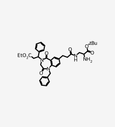 CCOC(=O)CC(c1ccccc1)N1CC(=O)N(Cc2ccccc2)c2ccc(CCC(=O)NCC(N)C(=O)OC(C)(C)C)cc2C1=O